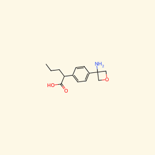 CCCC(C(=O)O)c1ccc(C2(N)COC2)cc1